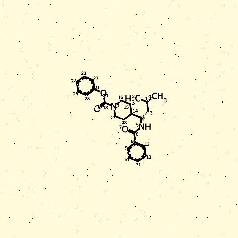 CC(C)C[C@H](NC(=O)c1ccccc1)C1CCN(C(=O)Oc2ccccc2)CC1